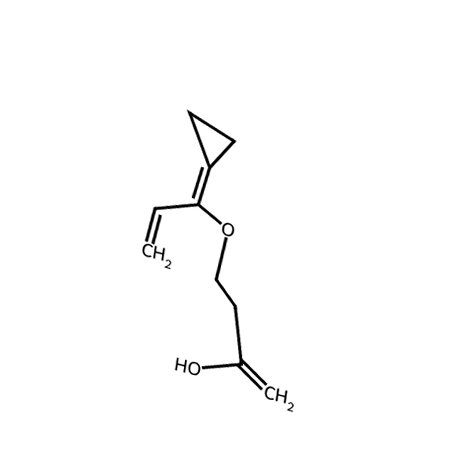 C=CC(OCCC(=C)O)=C1CC1